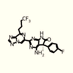 C[C@@]1(c2ccc(F)cc2)C(=O)Nc2nc(-c3cn4ncnc4c(CCCC(F)(F)F)n3)nc(N)c21